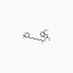 COc1nc2c(N)ncnc2n1O[C@@H](C)CCCCCCC1CCOC(C)(C)C1